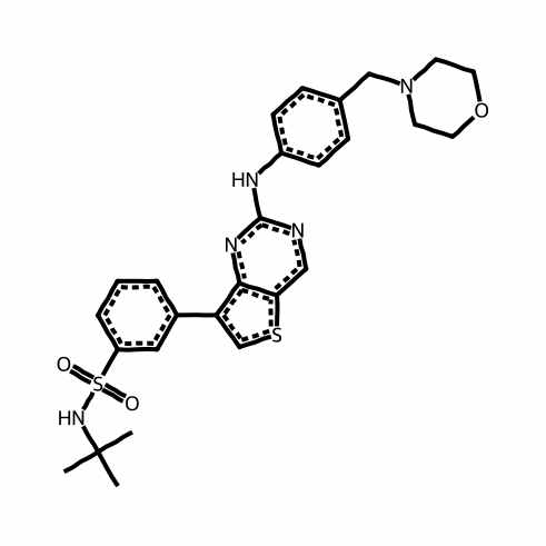 CC(C)(C)NS(=O)(=O)c1cccc(-c2csc3cnc(Nc4ccc(CN5CCOCC5)cc4)nc23)c1